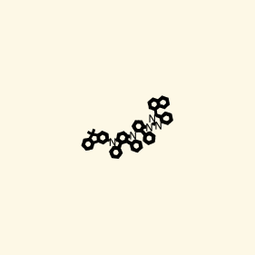 CC1(C)c2ccccc2-c2cc(-n3c4ccccc4c4c5c6ccccc6n(-c6cccc7c6c6ccccc6n7-c6nc(-c7cccc8ccccc78)c7ccccc7n6)c5ccc43)ccc21